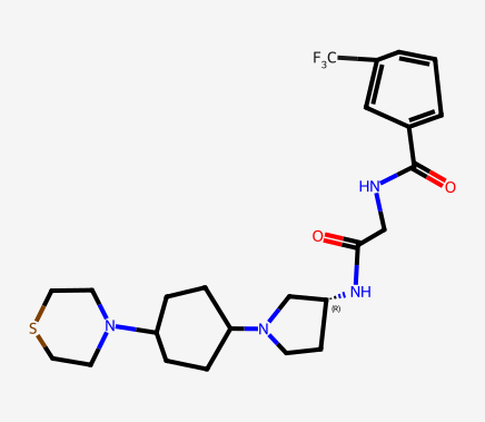 O=C(CNC(=O)c1cccc(C(F)(F)F)c1)N[C@@H]1CCN(C2CCC(N3CCSCC3)CC2)C1